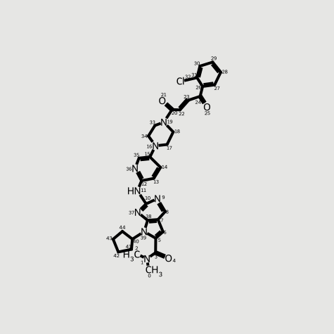 CN(C)C(=O)c1cc2cnc(Nc3ccc(N4CCN(C(=O)/C=C/C(=O)c5ccccc5Cl)CC4)cn3)nc2n1C1CCCC1